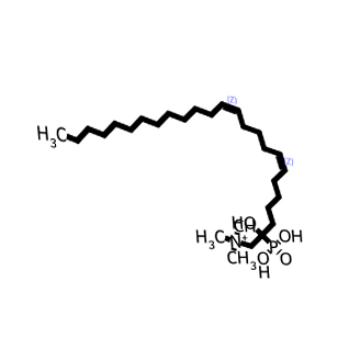 CCCCCCCCCCCC/C=C\CCC/C=C\CCCCC(O)(C[N+](C)(C)C)P(=O)(O)O